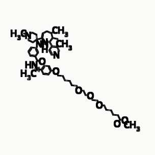 CCC1C(C)CC=C(C2(Nc3cccc(C(=O)N[C@H](C)c4ccc(OCCCCCCOCCOCCOCCCCCC(=O)OC)cc4)c3)CCN(C)CC2)NC1c1ccncc1